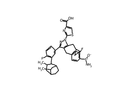 CC1CC2CCC1CC(C)C2c1cc(-c2nn(-c3nc(C(=O)O)cs3)c(CC3CC3)c2Cc2ccc([S+](N)[O-])c(F)c2)ccc1F